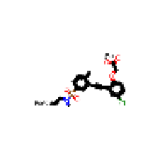 COCCN(C)S(=O)(=O)c1ccc(C)c(C#Cc2cc(Cl)ccc2OCC(=O)OC(C)(C)C)c1